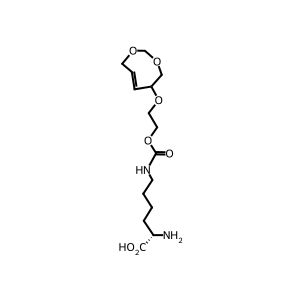 N[C@@H](CCCCNC(=O)OCCOC1/C=C/COCOC1)C(=O)O